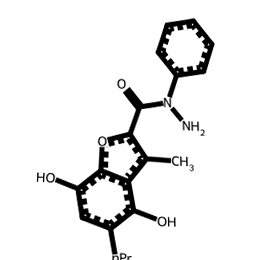 CCCc1cc(O)c2oc(C(=O)N(N)c3ccccc3)c(C)c2c1O